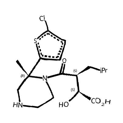 CC(C)C[C@H](C(=O)N1CCNC[C@]1(C)c1ccc(Cl)s1)[C@H](O)C(=O)O